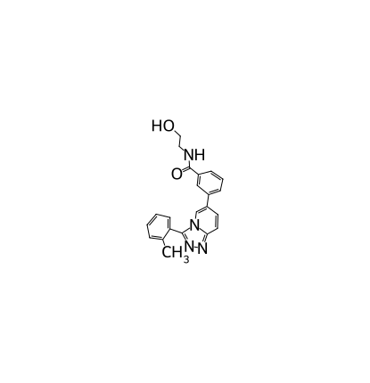 Cc1ccccc1-c1nnc2ccc(-c3cccc(C(=O)NCCO)c3)cn12